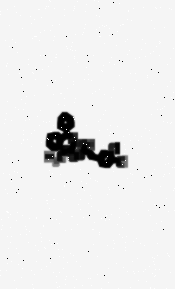 CN1C(=O)[C@H](NC(=O)/C=C/c2ccc(Cl)c(Cl)c2)N=C(c2ccccc2)c2ccccc21